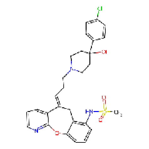 O=S(=O)(Nc1cccc2c1CC(=CCCN1CCC(O)(c3ccc(Cl)cc3)CC1)c1cccnc1O2)C(F)(F)F